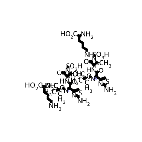 C[C@H]1[C@H](NC(=O)/C(=N\OC(C)(C)C(=O)O)c2csc(N)n2)C(=O)N1S(=O)(=O)O.C[C@H]1[C@H](NC(=O)/C(=N\OC(C)(C)C(=O)O)c2csc(N)n2)C(=O)N1S(=O)(=O)O.NCCCCC(N)C(=O)O.NCCCCC(N)C(=O)O